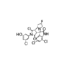 O=C1C2C3C[C@H](F)CN3C3(C(=O)Nc4c(Cl)cc(Cl)cc43)C2C(=O)N1c1cc(O)cc(Cl)c1